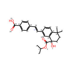 CC(C)OC(=O)C1(O)CCC(C)(C)c2ccc(/C=C/c3ccc(C(=O)O)cc3)cc21